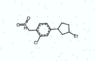 [CH2]CC1CCC(c2ccc(C[SH](=O)=O)c(Cl)c2)C1